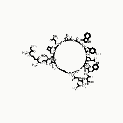 CC(=O)N[C@@H](CC(C)C)C(=O)N[C@H](C(=O)N[C@@H](Cc1ccccc1)C(=O)N[C@]1(C)CCCCCC/C=C/CCC[C@@](C)(C(=O)N[C@@H](CO)C(=O)CN[C@@H](C)C(=O)CCN[C@@H](C)C(=O)CN)NC(=O)[C@H](CC2CCC2)NC(=O)[C@H](CCC(N)=O)NCN[C@@H](C)C(=O)CC(=O)[C@H](Cc2c[nH]c3ccccc23)NN[C@@H](Cc2ccc(O)cc2)C(=O)N[C@@H](CCC(=O)O)C(=O)C1=O)[C@@H](C)O